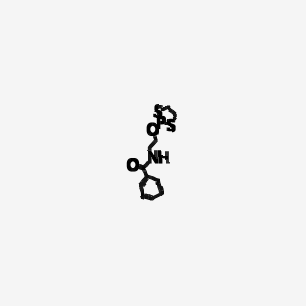 O=C(NCCOP1SCCS1)c1ccccc1